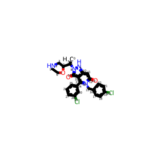 CC(C1CNCCO1)n1[nH]c2cc(=O)n(Cc3ccc(Cl)cc3)c(-c3cccc(Cl)c3)c2c1=O